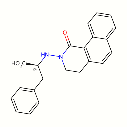 O=C(O)[C@H](Cc1ccccc1)NN1CCc2ccc3ccccc3c2C1=O